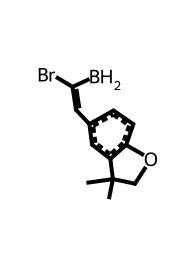 B/C(Br)=C\c1ccc2c(c1)C(C)(C)CO2